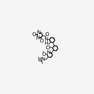 COc1nc(-c2cccc(-c3cccc(NC(=O)c4cn(C)c(=O)n(C)c4=O)c3C)c2Cl)ccc1CNC(C)C